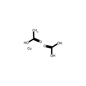 CC(=O)O.O=C(O)O.[Cu]